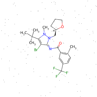 Cc1ccc(C(F)(F)F)cc1C(=O)N=c1c(Br)c(C(C)(C)C)n(C)n1C[C@H]1CCCO1